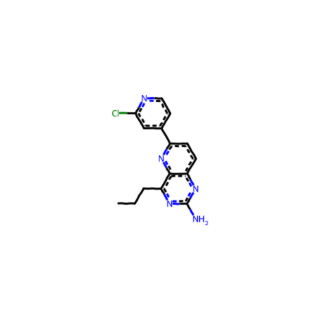 CCCc1nc(N)nc2ccc(-c3ccnc(Cl)c3)nc12